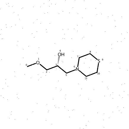 COC[C@H](O)CN1CCSCC1